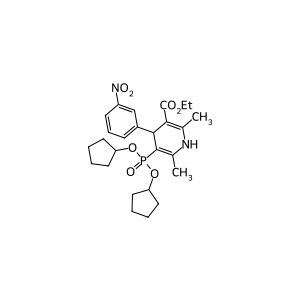 CCOC(=O)C1=C(C)NC(C)=C(P(=O)(OC2CCCC2)OC2CCCC2)C1c1cccc([N+](=O)[O-])c1